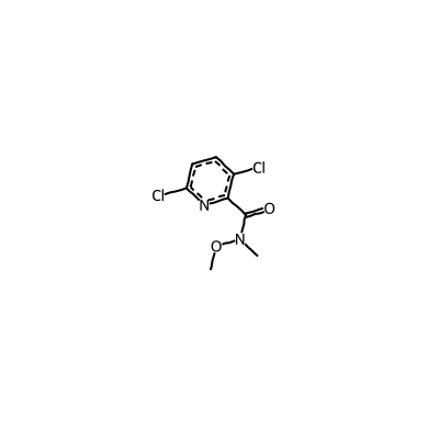 CON(C)C(=O)c1nc(Cl)ccc1Cl